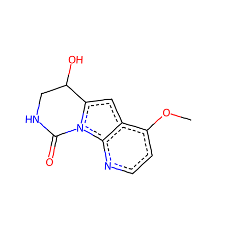 COc1ccnc2c1cc1n2C(=O)NCC1O